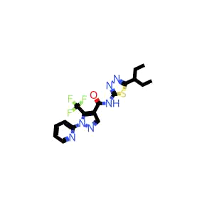 CCC(CC)c1nnc(NC(=O)c2cnn(-c3ccccn3)c2C(F)(F)F)s1